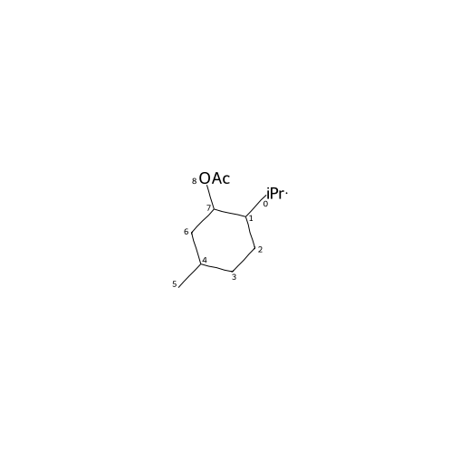 C[C](C)C1CCC(C)CC1OC(C)=O